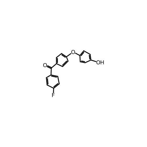 O=C(c1ccc(F)cc1)c1ccc(Oc2ccc(O)cc2)cc1